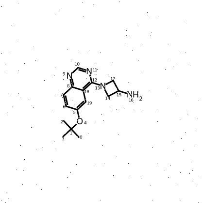 CC(C)(C)Oc1ccc2ncnc(N3CC(N)C3)c2c1